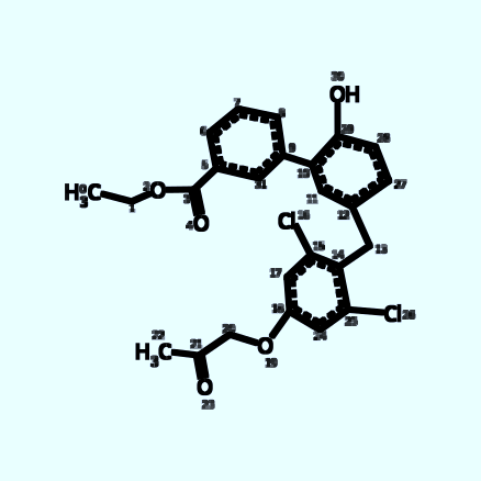 CCOC(=O)c1cccc(-c2cc(Cc3c(Cl)cc(OCC(C)=O)cc3Cl)ccc2O)c1